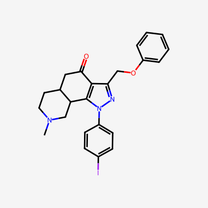 CN1CCC2CC(=O)c3c(COc4ccccc4)nn(-c4ccc(I)cc4)c3C2C1